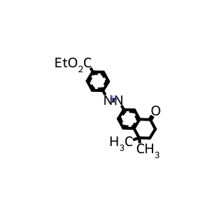 CCOC(=O)c1ccc(/N=N/c2ccc3c(c2)C(=O)CCC3(C)C)cc1